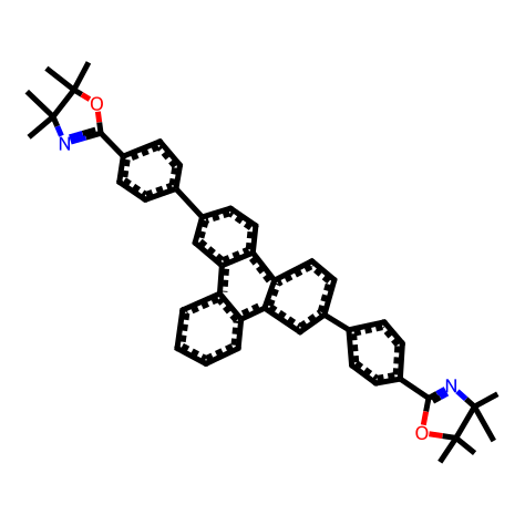 CC1(C)N=C(c2ccc(-c3ccc4c5ccc(-c6ccc(C7=NC(C)(C)C(C)(C)O7)cc6)cc5c5ccccc5c4c3)cc2)OC1(C)C